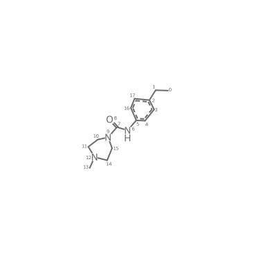 CCc1ccc(NC(=O)N2CCN(C)CC2)cc1